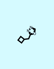 c1nnc(CC2CCC2)o1